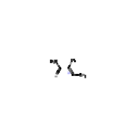 C/C=C(\C#N)C(N)=O